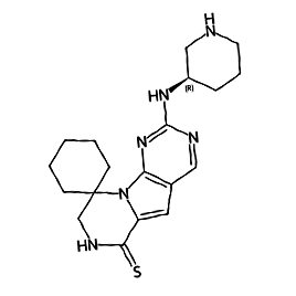 S=C1NCC2(CCCCC2)n2c1cc1cnc(N[C@@H]3CCCNC3)nc12